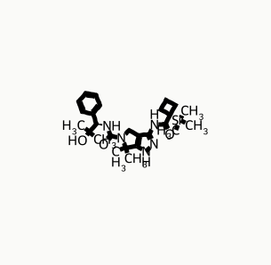 CC(C)(O)[C@@H](NC(=O)N1Cc2c(NC(=O)C3([Si](C)(C)C)CCC3)n[nH]c2C1(C)C)c1ccccc1